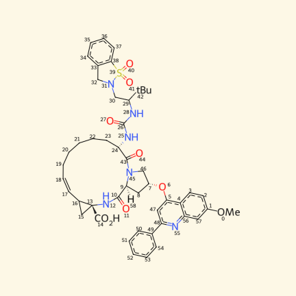 COc1ccc2c(O[C@@H]3C[C@H]4C(=O)N[C@]5(C(=O)O)CC5/C=C\CCCCC[C@H](NC(=O)NC(CN5Cc6ccccc6S5(=O)=O)C(C)(C)C)C(=O)N4C3)cc(-c3ccccc3)nc2c1